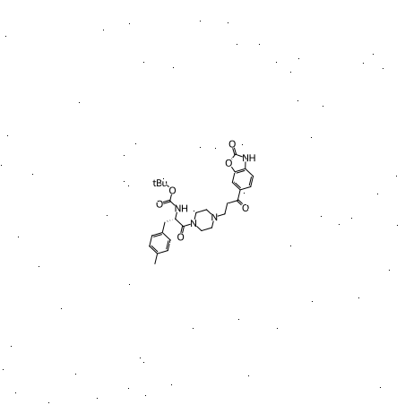 Cc1ccc(C[C@H](NC(=O)OC(C)(C)C)C(=O)N2CCN(CCC(=O)c3ccc4[nH]c(=O)oc4c3)CC2)cc1